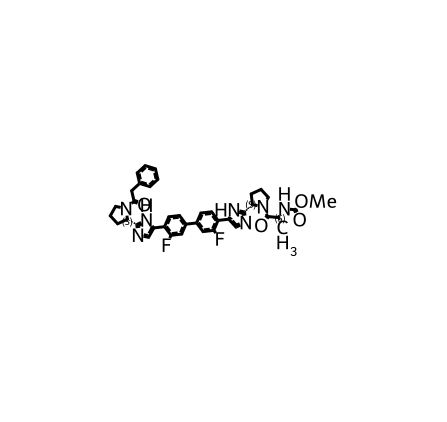 COC(=O)N[C@@H](C)C(=O)N1CCC[C@H]1c1ncc(-c2ccc(-c3ccc(-c4cnc([C@@H]5CCCN5C(=O)Cc5ccccc5)[nH]4)c(F)c3)cc2F)[nH]1